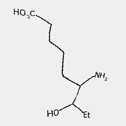 CCC(O)C(N)CCCCC(=O)O